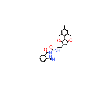 Cc1cc(C)c(C2C(=O)CC(CCNC(=O)NC(=O)c3ccccc3C#N)C2=O)c(C)c1